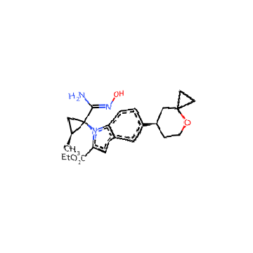 CCOC(=O)c1cc2cc([C@@H]3CCOC4(CC4)C3)ccc2n1[C@]1(C(N)=NO)C[C@@H]1C